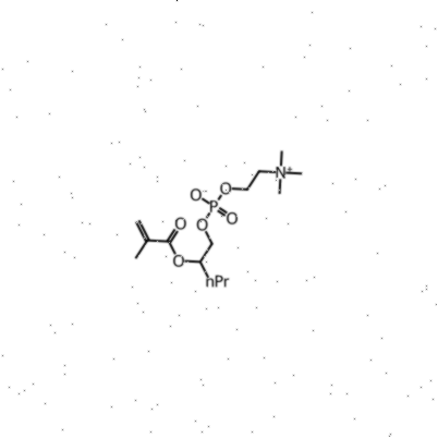 C=C(C)C(=O)OC(CCC)COP(=O)([O-])OCC[N+](C)(C)C